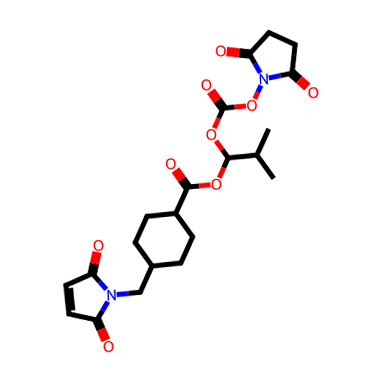 CC(C)C(OC(=O)ON1C(=O)CCC1=O)OC(=O)C1CCC(CN2C(=O)C=CC2=O)CC1